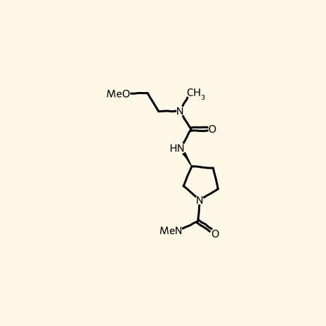 CNC(=O)N1CC[C@H](NC(=O)N(C)CCOC)C1